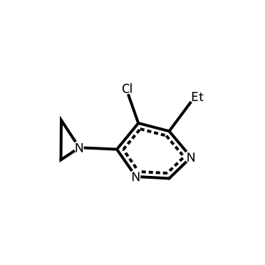 CCc1ncnc(N2CC2)c1Cl